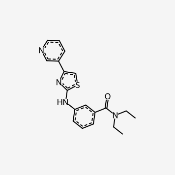 CCN(CC)C(=O)c1cccc(Nc2nc(-c3cccnc3)cs2)c1